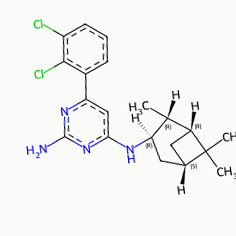 C[C@@H]1[C@H]2C[C@@H](C[C@H]1Nc1cc(-c3cccc(Cl)c3Cl)nc(N)n1)C2(C)C